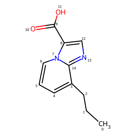 CCCc1cccn2c(C(=O)O)cnc12